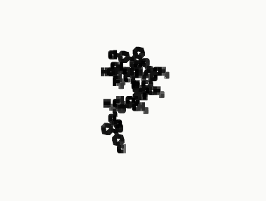 CCC(COCCC(C)(C)OCCC(C)(C)O)(COC(C)(C)CCOC(C)CCOC(=O)c1ccccc1C(=O)c1ccc(Cl)cc1)COC(C)(C)CCOC(C)(C)CCOC(=O)c1ccccc1C(=O)c1ccc(Cl)cc1